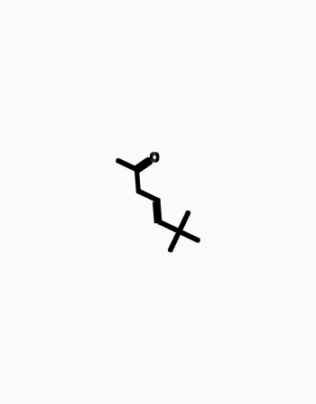 CC(=O)CC=CC(C)(C)C